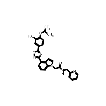 CC(Oc1ccc(-c2nc(-c3cccc4c3ccn4CC(=O)NCc3ccccn3)no2)cc1C(F)(F)F)C(F)(F)F